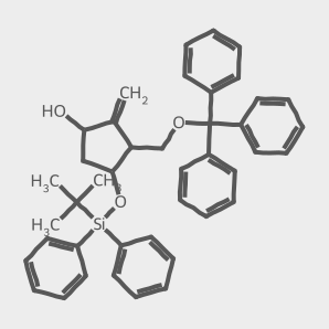 C=C1C(O)CC(O[Si](c2ccccc2)(c2ccccc2)C(C)(C)C)C1COC(c1ccccc1)(c1ccccc1)c1ccccc1